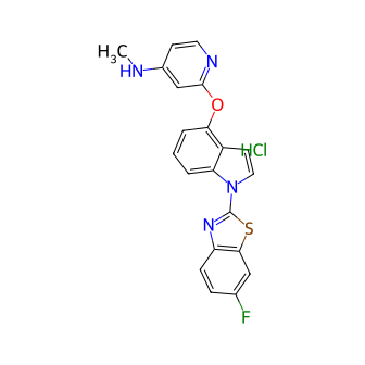 CNc1ccnc(Oc2cccc3c2ccn3-c2nc3ccc(F)cc3s2)c1.Cl